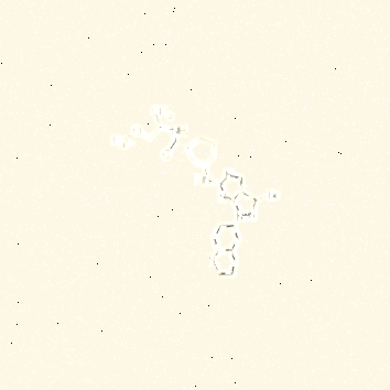 COC[C@@H](C)NC(=O)[C@@H]1CCC[C@@H](Nc2ncc3c(Br)nn(-c4ccc5ncccc5c4)c3n2)C1